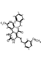 COc1cccc(CCC2=C(C(=O)OCc3ccccc3)C(c3ccnc(C)c3)NC(=O)N2)c1